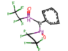 O=[PH]([Bi]([c]1ccccc1)[PH](=O)C(F)(F)C(F)(F)F)C(F)(F)C(F)(F)F